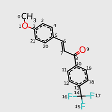 COc1ccc(/C=C/C(=O)c2ccc(C(F)(F)F)cc2)cc1